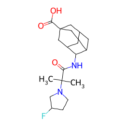 CC(C)(C(=O)NC1C2CC3CC1CC(C(=O)O)(C3)C2)N1CCC(F)C1